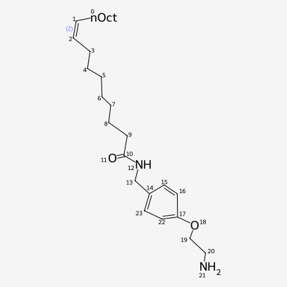 CCCCCCCC/C=C\CCCCCCCC(=O)NCc1ccc(OCCN)cc1